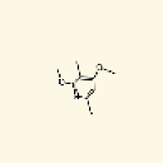 COc1cc(C)nc(OC)c1C